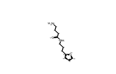 NCCCC(=O)NCCCc1ccco1